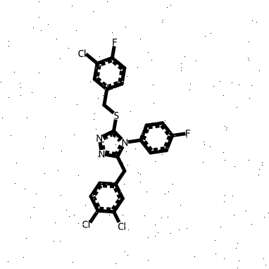 Fc1ccc(-n2c(Cc3ccc(Cl)c(Cl)c3)nnc2SCc2ccc(F)c(Cl)c2)cc1